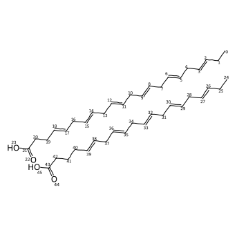 CCC=CCC=CCC=CCC=CCC=CCC=CCCC(=O)O.CCC=CCC=CCC=CCC=CCC=CCCCC(=O)O